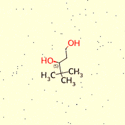 CC(C)(C)[C@@H](O)CCO